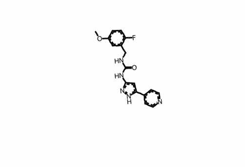 COc1ccc(F)c(CNC(=O)Nc2cc(-c3ccncc3)[nH]n2)c1